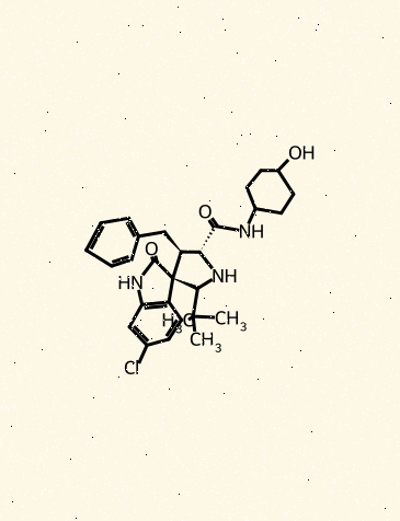 CC(C)(C)C1N[C@@H](C(=O)NC2CCC(O)CC2)[C@H](Cc2ccccc2)[C@]12C(=O)Nc1cc(Cl)ccc12